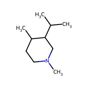 CC(C)C1CN(C)CCC1C